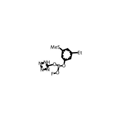 CCc1cc(OB(OF)Oc2nnn[nH]2)cc(SC)c1